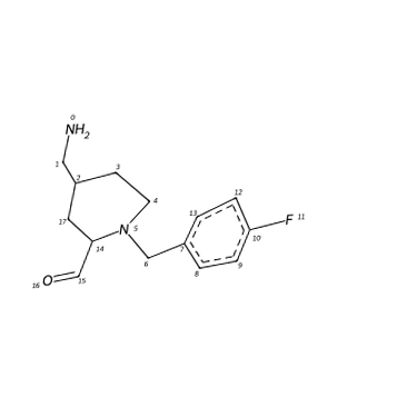 NCC1CCN(Cc2ccc(F)cc2)C(C=O)C1